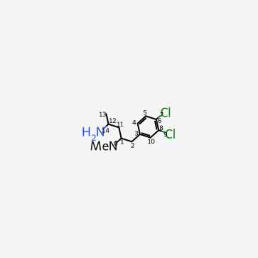 CNC(Cc1ccc(Cl)c(Cl)c1)CC(C)N